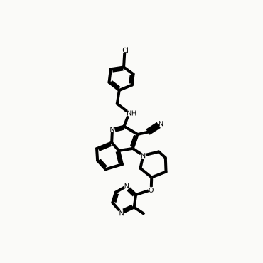 Cc1nccnc1OC1CCCN(c2c(C#N)c(NCc3ccc(Cl)cc3)nc3ccccc23)C1